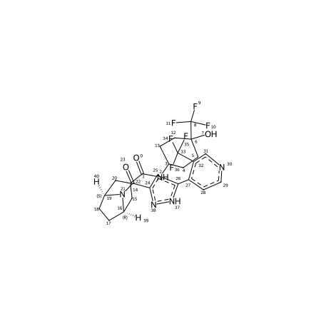 O=C(NC1CCC(O)(C(F)(F)F)CC1)C1C[C@H]2CC[C@@H](C1)N2C(=O)c1cc(-c2ccncc2C(F)(F)F)[nH]n1